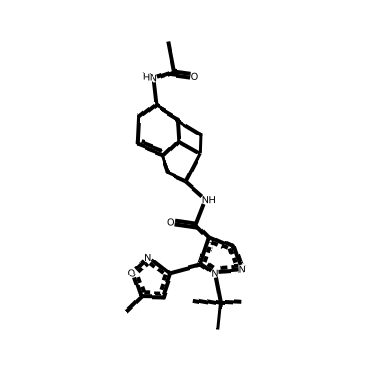 CC(=O)NC12CC=C3CC(NC(=O)c4cnn(C(C)(C)C)c4-c4cc(C)on4)C(C1)C3C2